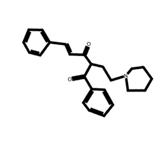 O=C(C=Cc1ccccc1)C(CCN1CCCCC1)C(=O)c1ccccc1